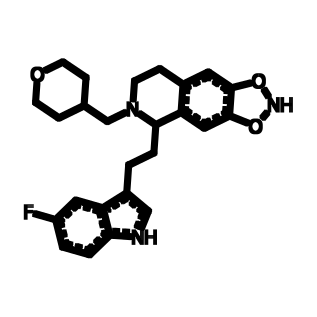 Fc1ccc2[nH]cc(CCC3c4cc5c(cc4CCN3CC3CCOCC3)ONO5)c2c1